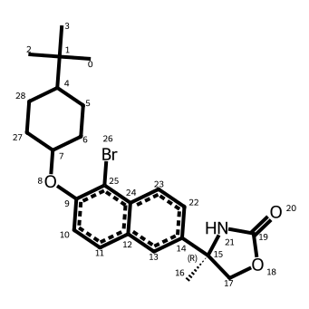 CC(C)(C)C1CCC(Oc2ccc3cc([C@]4(C)COC(=O)N4)ccc3c2Br)CC1